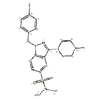 CCCN(CCC)S(=O)(=O)c1ccc2c(c1)c(N1CCN(C)CC1)nn2Cc1ccc(F)cc1